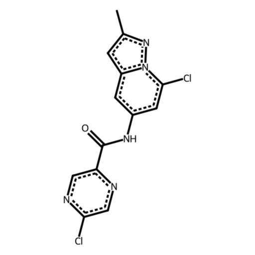 Cc1cc2cc(NC(=O)c3cnc(Cl)cn3)cc(Cl)n2n1